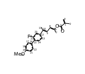 C=C(C)C(=O)O/C(C)=C/C=C(\C)c1ccc(-c2ccc(OC)cc2)c(F)c1